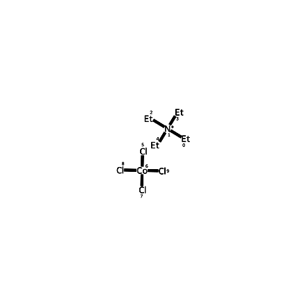 CC[N+](CC)(CC)CC.[Cl][Co-]([Cl])([Cl])[Cl]